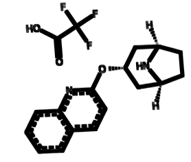 O=C(O)C(F)(F)F.c1ccc2nc(O[C@@H]3C[C@H]4CC[C@@H](C3)N4)ccc2c1